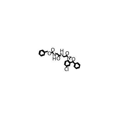 CN(C(=O)CNC(=O)CNC(=O)OCc1ccccc1)c1ccc(Cl)cc1C(=O)c1ccccc1